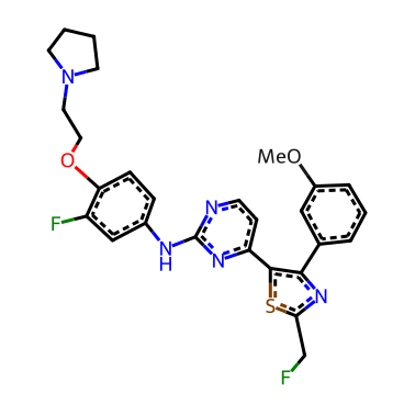 COc1cccc(-c2nc(CF)sc2-c2ccnc(Nc3ccc(OCCN4CCCC4)c(F)c3)n2)c1